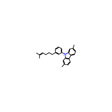 CC(C)=CCCCc1cccc(-n2c3cc(C)ccc3c3ccc(C)cc32)c1